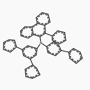 c1ccc(-c2ccc(N(c3cc(-c4ccccc4)cc(-c4ccccc4)c3)c3c(-c4ccccc4)c4ccccc4c4ccccc34)cc2)cc1